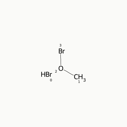 Br.COBr